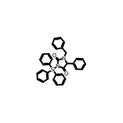 O=C1C(c2ccccc2)N(Cc2ccccc2)C(=O)N1[Si](c1ccccc1)(c1ccccc1)c1ccccc1